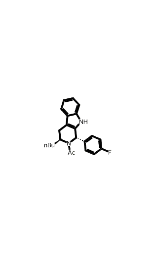 CCCC[C@H]1Cc2c([nH]c3ccccc23)[C@H](c2ccc(F)cc2)N1C(C)=O